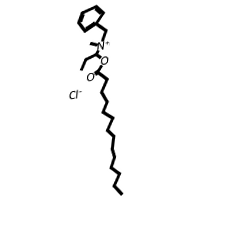 CCCCCCCCCCCCCC(=O)OC(CC)[N+](C)(C)Cc1ccccc1.[Cl-]